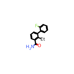 CCc1c(C(N)=O)cccc1-c1ccccc1F